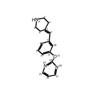 C(=C1CCNCC1)c1cccc(Oc2ncccn2)c1